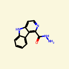 NNC(=O)c1nccc2[nH]c3ccccc3c12